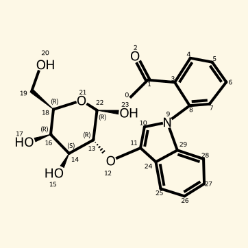 CC(=O)c1ccccc1-n1cc(O[C@@H]2[C@@H](O)[C@@H](O)[C@@H](CO)O[C@H]2O)c2ccccc21